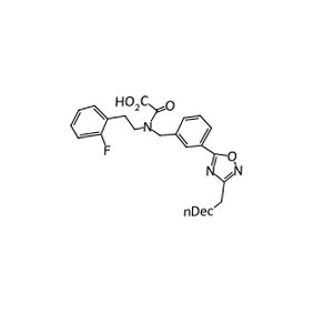 CCCCCCCCCCCc1noc(-c2cccc(CN(CCc3ccccc3F)C(=O)C(=O)O)c2)n1